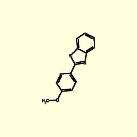 COc1c[c]c(-c2nc3ccccc3s2)cc1